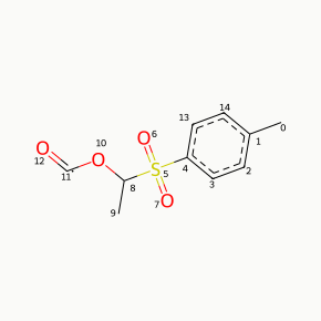 Cc1ccc(S(=O)(=O)C(C)O[C]=O)cc1